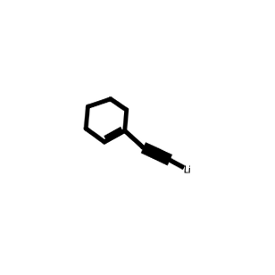 [Li][C]#CC1=CCCCC1